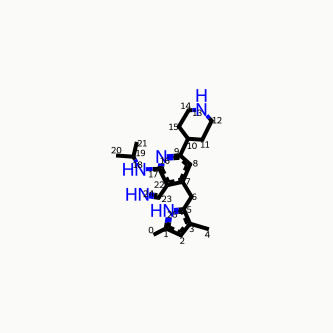 Cc1cc(C)c(Cc2cc(C3CCNCC3)nc(NC(C)C)c2C=N)[nH]1